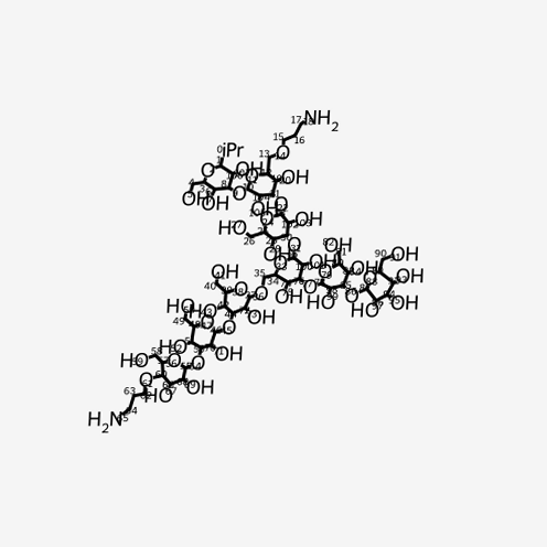 CC(C)C1OC(CO)C(O)C(OC2OC(COCCCN)C(O)C(OC3OC(CO)C(O)C(OC4OC(COC5OC(CO)C(O)C(OC6OC(CO)C(O)C(OC7OC(CO)C(OCCCN)C(O)C7O)C6O)C5O)C(O)C(OC5OC(CO)C(O)C(OC6OC(CO)C(O)C(O)C6O)C5O)C4O)C3O)C2O)C1O